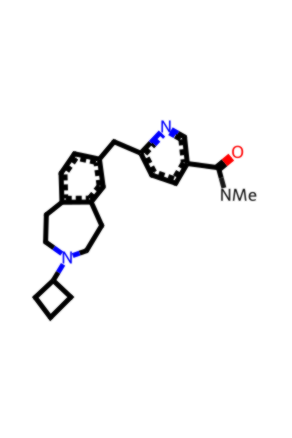 CNC(=O)c1ccc(Cc2ccc3c(c2)CCN(C2CCC2)CC3)nc1